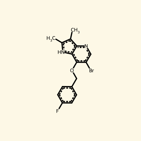 Cc1[nH]c2c(OCc3ccc(F)cc3)c(Br)cnc2c1C